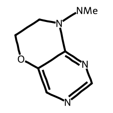 CNN1CCOc2cncnc21